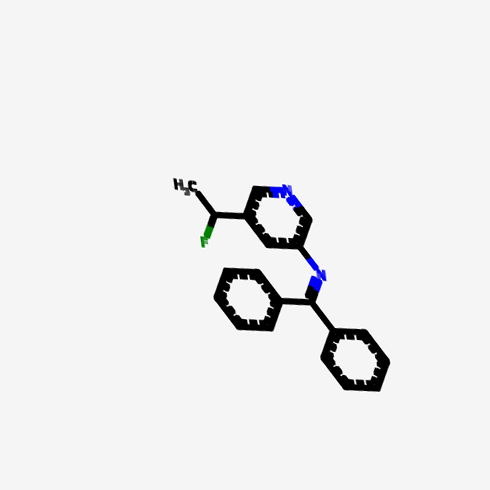 CC(F)c1cncc(N=C(c2ccccc2)c2ccccc2)c1